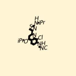 [C-]#[N+]CNc1ccc2c(OC(C)C)cc(-c3csc(NC(C)C)n3)nc2c1Cl